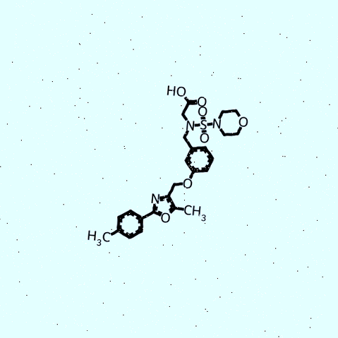 Cc1ccc(-c2nc(COc3cccc(CN(CC(=O)O)S(=O)(=O)N4CCOCC4)c3)c(C)o2)cc1